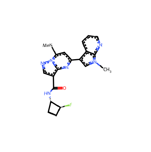 CNc1cc(-c2cn(C)c3ncccc23)nc2c(C(=O)N[C@H]3CC[C@@H]3F)cnn12